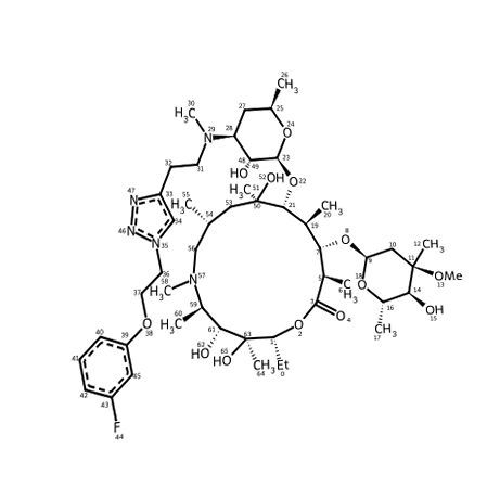 CC[C@H]1OC(=O)[C@H](C)[C@@H](O[C@H]2C[C@@](C)(OC)[C@@H](O)[C@H](C)O2)[C@H](C)[C@@H](O[C@@H]2O[C@H](C)C[C@H](N(C)CCc3cn(CCOc4cccc(F)c4)nn3)[C@H]2O)[C@](C)(O)C[C@@H](C)CN(C)[C@H](C)[C@@H](O)[C@]1(C)O